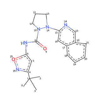 CC(C)(C)c1cc(NC(=O)N2CCCN2c2cc3ccccc3cn2)on1